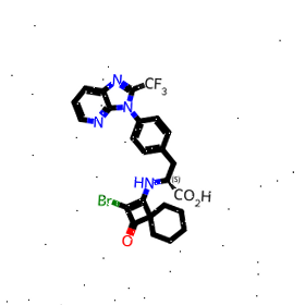 O=C(O)[C@H](Cc1ccc(-n2c(C(F)(F)F)nc3cccnc32)cc1)NC1=C(Br)C(=O)C12CCCCC2